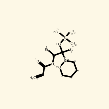 C=CC(=O)OC(CC)C(CC)(O[Si](C)(C)CCCC)[SiH]1CCCCO1